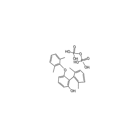 Cc1cccc(C)c1Oc1cccc(O)c1-c1c(C)cccc1C.O=P(O)(O)OP(=O)(O)O